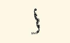 COc1ccc(CC#Cc2cc3c(s2)N=CN(Cc2ccc(C(=O)OC(=O)c4ccc(CN5C=Nc6sc(C#CCc7ccccc7)cc6C5)cc4)cc2)C3)cc1